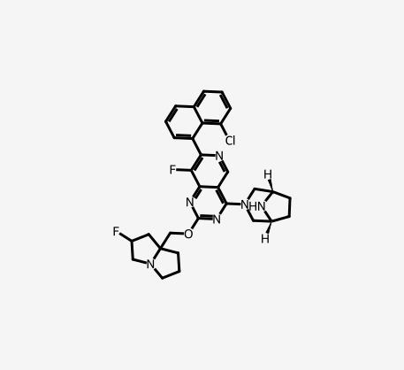 Fc1c(-c2cccc3cccc(Cl)c23)ncc2c(N3C[C@H]4CC[C@@H](C3)N4)nc(OCC34CCCN3CC(F)C4)nc12